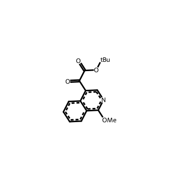 COc1ncc(C(=O)C(=O)OC(C)(C)C)c2ccccc12